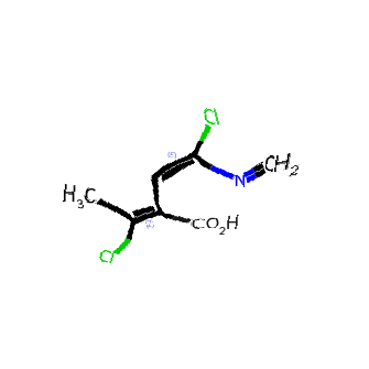 C=N/C(Cl)=C\C(C(=O)O)=C(/C)Cl